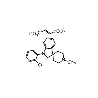 CN1CCC2(CC1)CN(c1ccccc1Cl)c1ccccc12.O=C(O)C=CC(=O)O